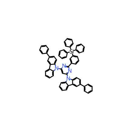 c1ccc(-c2ccc3c(c2)c2ccccc2n3-c2cc(-n3c4ccccc4c4cc(-c5ccccc5)ccc43)nc(-c3cccc([Si](c4ccccc4)(c4ccccc4)c4ccccc4)c3)n2)cc1